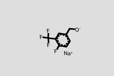 [Na+].[O-]Cc1ccc(F)c(C(F)(F)F)c1